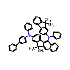 CC1(C)c2ccccc2-c2ccc(N(c3ccccc3)c3c4c(cc5ccccc35)C(C)(C)c3cc(N(c5ccccc5)c5ccc(-c6ccccc6)cc5)ccc3-4)cc21